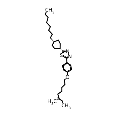 CCCCCCCC[C@H]1CC[C@H](c2nnc(-c3ccc(OCCCCC[C@@H](C)CC)cc3)s2)CC1